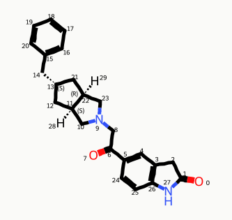 O=C1Cc2cc(C(=O)CN3C[C@H]4C[C@H](Cc5ccccc5)C[C@H]4C3)ccc2N1